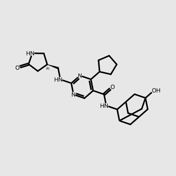 O=C1C[C@H](CNc2ncc(C(=O)NC3C4CC5CC3CC(O)(C5)C4)c(C3CCCC3)n2)CN1